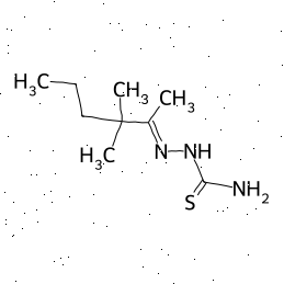 CCCC(C)(C)C(C)=NNC(N)=S